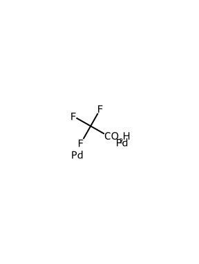 O=C(O)C(F)(F)F.[Pd].[Pd]